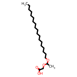 CCCCCCCCCCCCCCCCCCCOC(C)OCC(=O)O